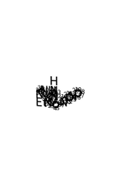 CCN(Cc1ccc(CN2CCC3(CCN(C4CCCCC4)CC3)C2)cc1)C(=O)C(Cc1ncc[nH]1)Cc1ncc[nH]1